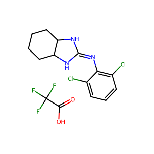 Clc1cccc(Cl)c1N=C1NC2CCCCC2N1.O=C(O)C(F)(F)F